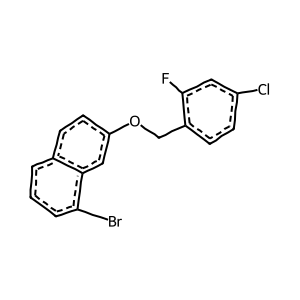 Fc1cc(Cl)ccc1COc1ccc2cccc(Br)c2c1